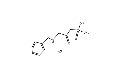 CP(=O)(O)CC(=O)CNCc1ccccc1.Cl